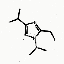 CCc1nc(C(C)C)cn1C(C)C